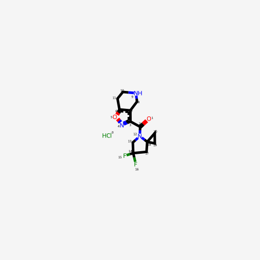 Cl.O=C(c1noc2c1CNCC2)N1CC(F)(F)CC12CC2